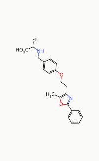 CCC(NCc1ccc(OCCc2nc(-c3ccccc3)oc2C)cc1)C(=O)O